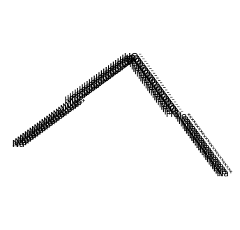 [Na+].[Na+].[Na+].[Na+].[Na+].[Na+].[Na+].[Na+].[Na+].[Na+].[Na+].[Na+].[Na+].[Na+].[Na+].[Na+].[Na+].[Na+].[Na+].[Na+].[Na+].[Na+].[Na+].[Na+].[Na+].[Na+].[Na+].[Na+].[Na+].[Na+].[Na+].[Na+].[Na+].[Na+].[Na+].[Na+].[Na+].[Na+].[Na+].[Na+].[Na+].[Na+].[Na+].[Na+].[Na+].[Na+].[Na+].[Na+].[Na+].[Na+].[OH-].[OH-].[OH-].[OH-].[OH-].[OH-].[OH-].[OH-].[OH-].[OH-].[OH-].[OH-].[OH-].[OH-].[OH-].[OH-].[OH-].[OH-].[OH-].[OH-].[OH-].[OH-].[OH-].[OH-].[OH-].[OH-].[OH-].[OH-].[OH-].[OH-].[OH-].[OH-].[OH-].[OH-].[OH-].[OH-].[OH-].[OH-].[OH-].[OH-].[OH-].[OH-].[OH-].[OH-].[OH-].[OH-].[OH-].[OH-].[OH-].[OH-]